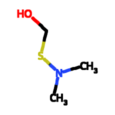 CN(C)SCO